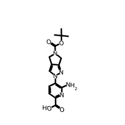 CC(C)(C)OC(=O)N1Cc2cn(-c3ccc(C(=O)O)nc3N)nc2C1